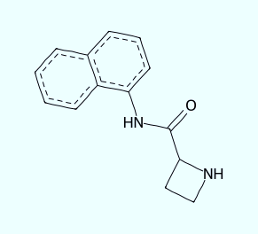 O=C(Nc1cccc2ccccc12)C1CCN1